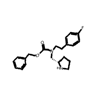 O=C(OCc1ccccc1)N(CCc1ccc(F)cc1)C[C@@H]1CCCN1